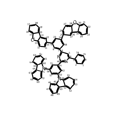 c1ccc(-c2cc(-c3cc(-c4ccc5oc6ccccc6c5c4)cc(-c4ccc5oc6ccccc6c5c4)c3)nc(-c3cc(-n4c5ccccc5c5ccccc54)cc(-n4c5ccccc5c5ccccc54)c3)n2)cc1